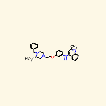 Cc1cc(Nc2cccc(OCCN3CCN(Cc4ccccc4)C(C(=O)O)C3)c2)c2ccccc2n1